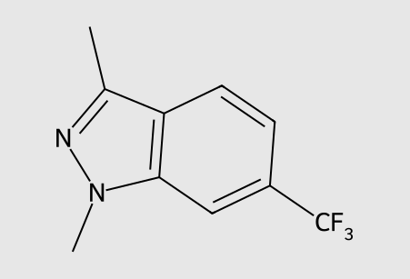 Cc1nn(C)c2cc(C(F)(F)F)ccc12